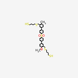 COc1ccc(-c2ccc(S(=O)(=O)c3ccc(-c4ccc(C)c(CSCCCCS)c4)cc3)cc2)cc1CSCCCCS